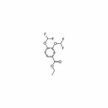 CCOC(=O)c1ccc(OC(F)F)c(OC(F)F)c1